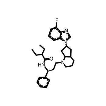 CCC(CC)C(=O)N[C@@H](CCN1CCCC2CC(n3cnc4c(F)cccc43)CC21)c1ccccc1